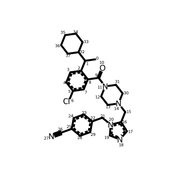 CC(c1ccc(Cl)cc1C(=O)N1CCN(Cc2cncn2Cc2ccc(C#N)cc2)CC1)C1CCCCC1